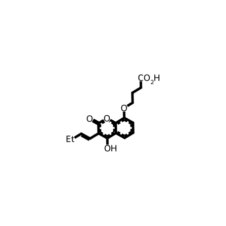 CCC=Cc1c(O)c2cccc(OCCCC(=O)O)c2oc1=O